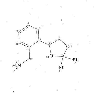 CCC1(CC)OCC(c2ccccc2CN)O1